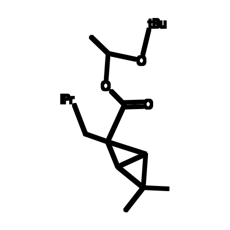 CC(C)CC1(C(=O)OC(C)OC(C)(C)C)C2C1C2(C)C